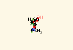 CC1=C(c2cc(Cl)ccc2F)C(c2ccc(OC[C@H](C)N3CC[C@@H](CF)C3)cc2)Oc2ccc(O)cc21